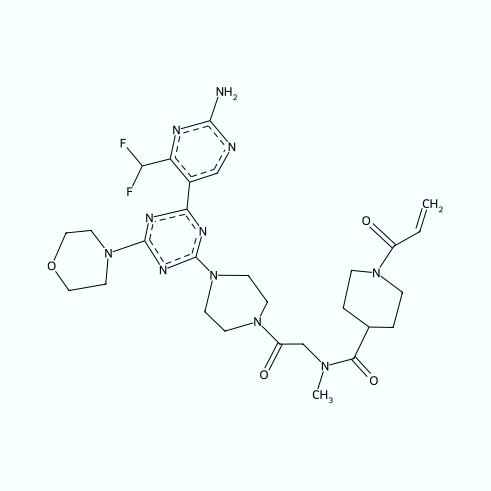 C=CC(=O)N1CCC(C(=O)N(C)CC(=O)N2CCN(c3nc(-c4cnc(N)nc4C(F)F)nc(N4CCOCC4)n3)CC2)CC1